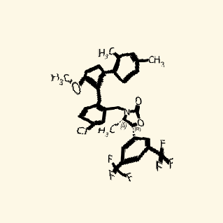 COc1ccc(-c2ccc(C)cc2C)cc1-c1ccc(Cl)cc1CN1C(=O)O[C@H](c2cc(C(F)(F)F)cc(C(F)(F)F)c2)[C@@H]1C